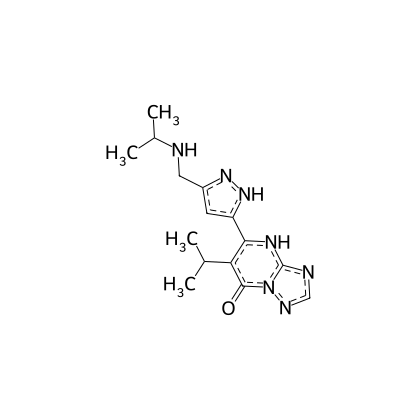 CC(C)NCc1cc(-c2[nH]c3ncnn3c(=O)c2C(C)C)[nH]n1